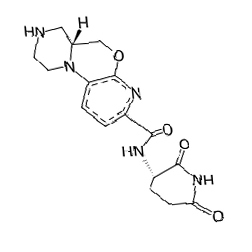 O=C1CC[C@H](NC(=O)c2ccc3c(n2)OC[C@H]2CNCCN32)C(=O)N1